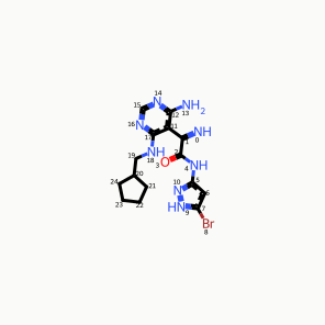 N=C(C(=O)Nc1cc(Br)[nH]n1)c1c(N)ncnc1NCC1CCCC1